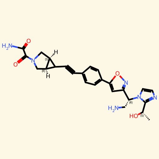 C[C@H](O)c1nccn1[C@H](CN)c1cc(-c2ccc(C#CC3[C@H]4CN(C(=O)C(N)=O)C[C@@H]34)cc2)on1